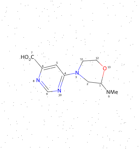 CNC1CN(c2cc(C(=O)O)ncn2)CCO1